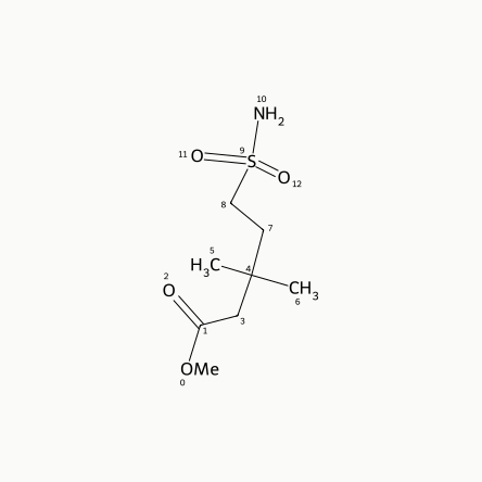 COC(=O)CC(C)(C)CCS(N)(=O)=O